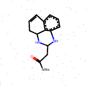 CNC(=O)CC1Nc2cccc3c2C(CC=C3)N1